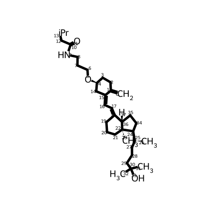 C=C1CC[C@H](OCCCNC(=O)CC(C)C)C/C1=C/C=C1\CCC[C@]2(C)C([C@H](C)CCCC(C)(C)O)CC[C@@H]12